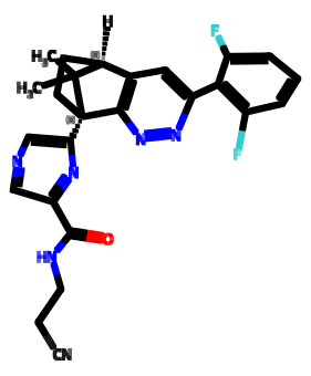 CC1(C)[C@H]2CC[C@]1(c1cncc(C(=O)NCCC#N)n1)c1nnc(-c3c(F)cccc3F)cc12